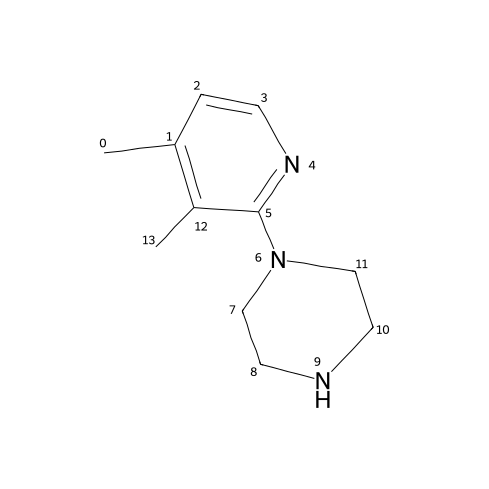 Cc1ccnc(N2CCNCC2)c1C